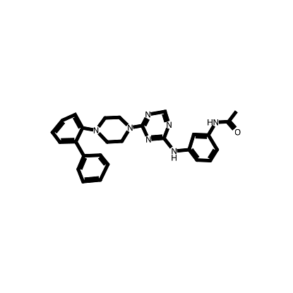 CC(=O)Nc1cccc(Nc2ncnc(N3CCN(c4ccccc4-c4ccccc4)CC3)n2)c1